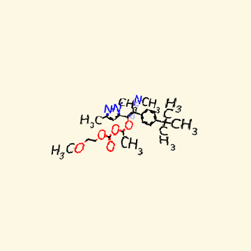 C/N=C\C(=C(\OC(C)OC(=O)OCCOC)c1cc(C)nn1C)c1ccc(C(C)(C)C)cc1